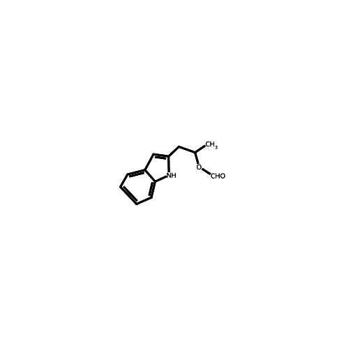 CC(Cc1cc2ccccc2[nH]1)OC=O